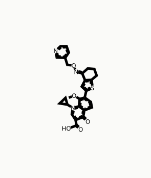 COc1c(-c2cc3c(s2)CCC/C3=N\OCc2cccnc2)ccc2c(=O)c(C(=O)O)cn(C3CC3)c12